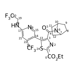 CCOC(=O)c1nc(C(=O)N2C3CCC2CC3)c(-c2cnc(NCC(F)(F)F)cc2C(F)(F)F)s1